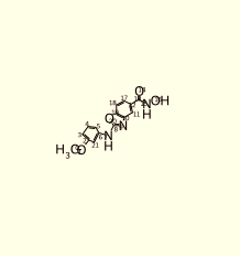 COc1cccc(Nc2nc3cc(C(=O)NO)ccc3o2)c1